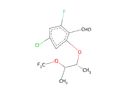 CC(OC(F)(F)F)[C@@H](C)Oc1cc(Cl)cc(F)c1C=O